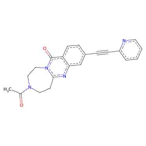 CC(=O)N1CCc2nc3cc(C#Cc4ccccn4)ccc3c(=O)n2CC1